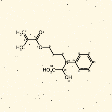 C=C(C)C(=O)OCCCN(c1ccccc1)C(O)C(=O)O